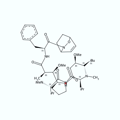 CC[C@H](C)[C@@H]([C@@H](CC(=O)N1CCC[C@H]1[C@H](OC)[C@@H](C)C(=O)N[C@@H](Cc1ccccc1)C(=O)N1OC2C=CC1CC2)OC)N(C)[C@H](C(=O)NC(=O)[C@@H](NC)C(C)C)C(C)C